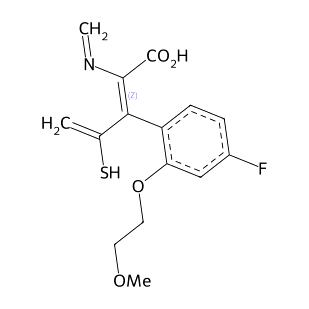 C=N/C(C(=O)O)=C(\C(=C)S)c1ccc(F)cc1OCCOC